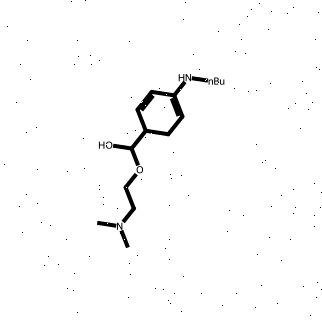 CCCCNC1=CCC(C(O)OCCN(C)C)C=C1